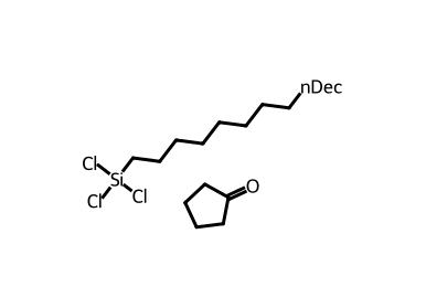 CCCCCCCCCCCCCCCCCC[Si](Cl)(Cl)Cl.O=C1CCCC1